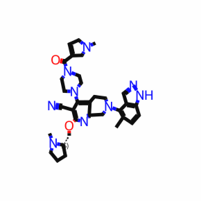 Cc1ccc2[nH]ncc2c1N1CCc2c(nc(OC[C@@H]3CCCN3C)c(C#N)c2N2CCN(C(=O)C3=CCN(C)C3)CC2)C1